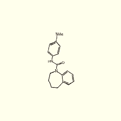 CNc1ccc(NC(=O)N2CCCCc3ccccc32)cc1